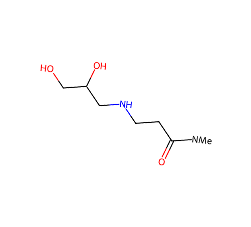 CNC(=O)CCNCC(O)CO